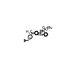 CN(c1ccc(C(=O)Nc2ccccc2NC(=O)OC(C)(C)C)cc1)C1CCN(CC2CC2)CC1